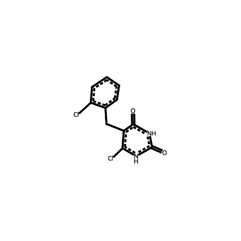 O=c1[nH]c(Cl)c(Cc2ccccc2Cl)c(=O)[nH]1